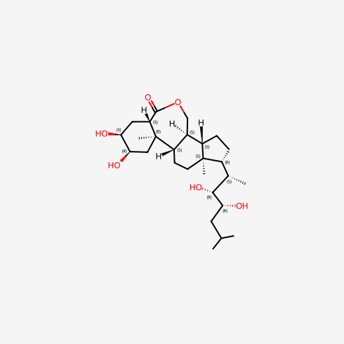 CC(C)C[C@@H](O)[C@H](O)[C@@H](C)[C@H]1CC[C@H]2[C@@H]3COC(=O)[C@H]4C[C@H](O)[C@H](O)C[C@]4(C)[C@H]3CC[C@]12C